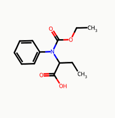 CCOC(=O)N(c1ccccc1)C(CC)C(=O)O